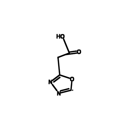 O=C(O)Cc1nn[c]o1